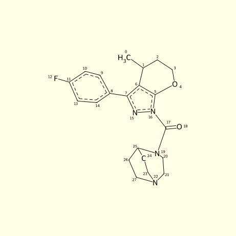 CC1CCOc2c1c(-c1ccc(F)cc1)nn2C(=O)N1CCN2CCC1CC2